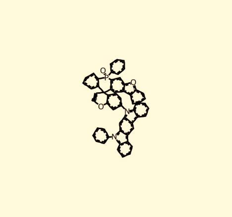 O=P1(c2ccccc2)c2ccccc2C2(c3ccccc3Oc3cc(-n4c5ccccc5c5cc6c7ccccc7n(-c7ccccc7)c6cc54)ccc32)c2cc3c(cc21)oc1ccccc13